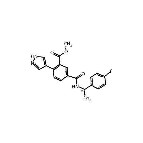 COC(=O)c1cc(C(=O)N[C@H](C)c2ccc(F)cc2)ccc1-c1cn[nH]c1